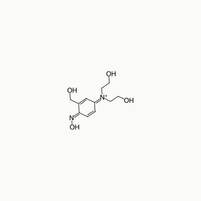 OCC[N+](CCO)=C1C=C/C(=N\O)C(CO)=C1